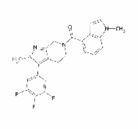 Cn1nc2c(c1-c1cc(F)c(F)c(F)c1)CCN(C(=O)c1nccc3c1ccn3C)C2